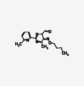 CCCCON=C1C(C)=NC(c2cccc(C)n2)=NC1C=O